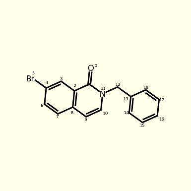 O=c1c2cc(Br)ccc2ccn1Cc1ccccc1